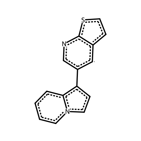 [c]1c(-c2ccn3ccccc23)cnc2sccc12